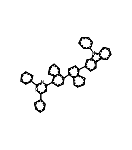 c1ccc(-c2cc(-c3ccc(-c4ccc(-c5ccc6c7ccccc7n(-c7ccccc7)c6c5)c5ccccc45)c4ccccc34)nc(-c3ccccc3)n2)cc1